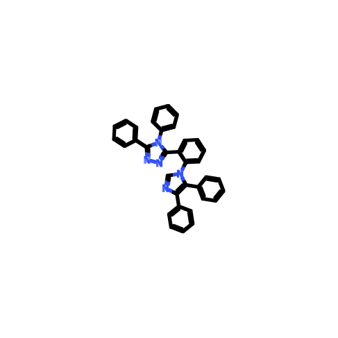 c1ccc(-c2ncn(-c3ccccc3-c3nnc(-c4ccccc4)n3-c3ccccc3)c2-c2ccccc2)cc1